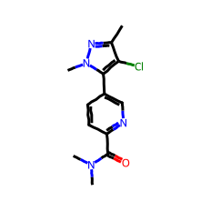 Cc1nn(C)c(-c2ccc(C(=O)N(C)C)nc2)c1Cl